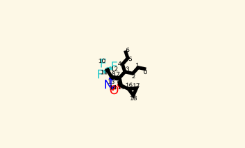 CCCC(CCC)c1c(C(F)(F)F)noc1C1CC1